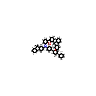 CC1(C)c2ccccc2-c2ccc(N(c3ccc(-c4ccc(-c5ccccc5)cc4)cc3)c3cccc4c3oc3c(C5(C)c6ccccc6-c6ccccc65)cccc34)cc21